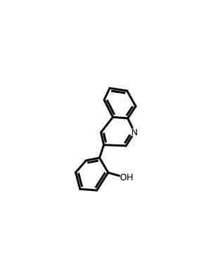 Oc1ccccc1-c1cnc2ccccc2c1